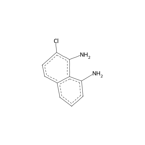 Nc1cccc2ccc(Cl)c(N)c12